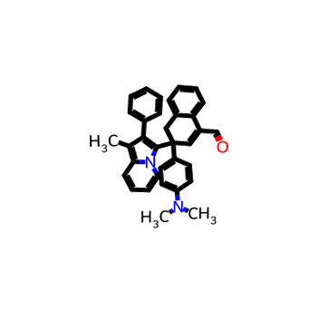 Cc1c(-c2ccccc2)c(C2(c3ccc(N(C)C)cc3)C=C(C=O)c3ccccc3C2)n2ccccc12